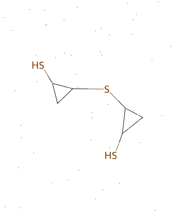 SC1CC1SC1CC1S